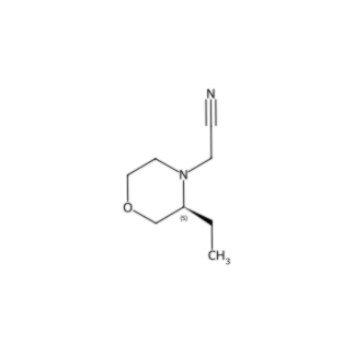 CC[C@H]1COCCN1CC#N